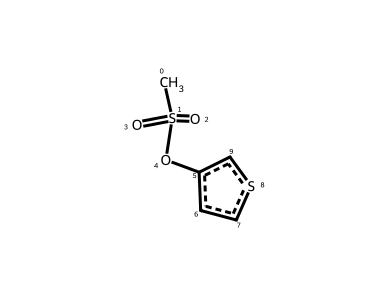 CS(=O)(=O)Oc1ccsc1